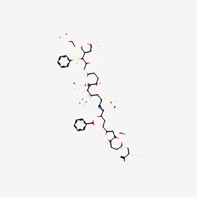 C=C(C)[C@H](C)C[C@H]1CC[C@@H]2OC(CCC(/C=C/[C@H](O[Si](C)(C)C(C)(C)C)[C@@H]3O[C@H]4CC[C@H](CC(O)C(C5[C@H](CCO[Si](CC)(CC)CC)O[C@H](C[C@H](C)CC)[C@@H]5C)S(=O)(=O)c5ccccc5)O[C@@H]4[C@H](O[Si](C)(C)C(C)(C)C)[C@@H]3O[Si](C)(C)C(C)(C)C)OC(=O)c3ccccc3)C[C@]2(CI)O1